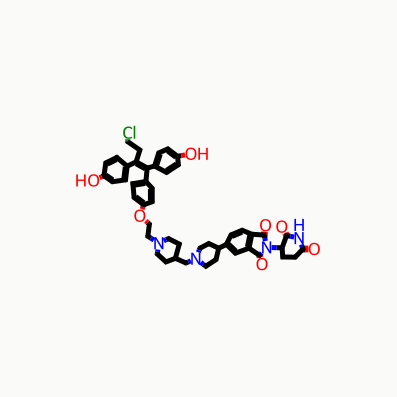 O=C1CCC(N2C(=O)c3ccc(C4CCN(CC5CCN(CCOc6ccc(C(=C(CCCl)c7ccc(O)cc7)c7ccc(O)cc7)cc6)CC5)CC4)cc3C2=O)C(=O)N1